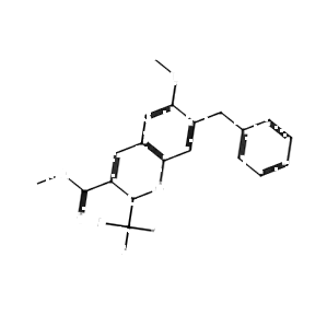 COC(=O)C1=Cc2cc(OC)c(Cc3ccccc3)cc2OC1C(F)(F)F